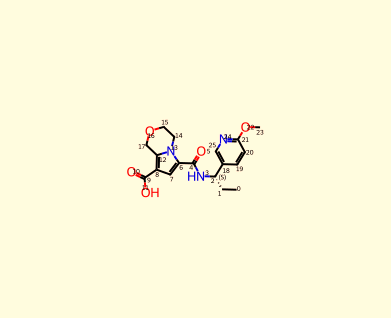 CC[C@H](NC(=O)c1cc(C(=O)O)c2n1CCOC2)c1ccc(OC)nc1